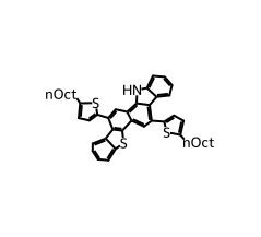 CCCCCCCCc1ccc(-c2cc3c(cc(-c4ccc(CCCCCCCC)s4)c4c5ccccc5sc34)c3[nH]c4ccccc4c23)s1